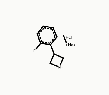 CCCCCCC.Cl.Fc1ccccc1C1CNC1